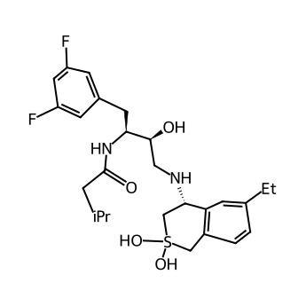 CCc1ccc2c(c1)[C@@H](NC[C@H](O)[C@H](Cc1cc(F)cc(F)c1)NC(=O)CC(C)C)CS(O)(O)C2